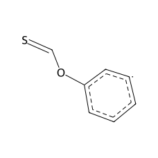 S=COc1c[c]ccc1